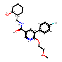 COCCOc1ncc(C(=O)NC[C@@H]2CCCC[C@@H]2O)cc1-c1ccc(F)cc1